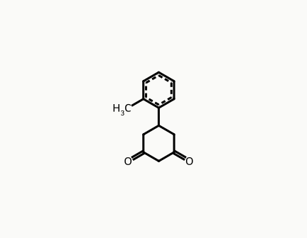 Cc1ccccc1C1CC(=O)CC(=O)C1